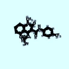 COc1cccc2c1c(OC(=O)C(C)C)c(C(=O)Nc1ccc(C(F)(F)F)cc1)c(=O)n2C